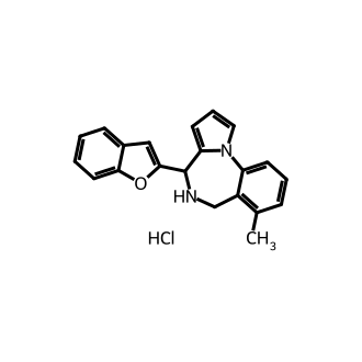 Cc1cccc2c1CNC(c1cc3ccccc3o1)c1cccn1-2.Cl